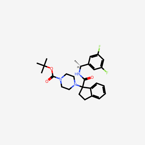 C[C@@H](NC(=O)C1(N2CCN(C(=O)OC(C)(C)C)CC2)CCc2ccccc21)c1cc(F)cc(F)c1